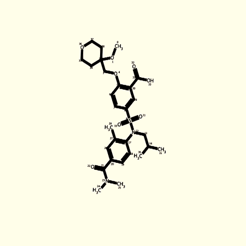 COC1(COc2ccc(S(=O)(=O)N(CC(C)C)c3ccc(C(=O)N(C)C)cc3C)cc2C(=O)O)CCOCC1